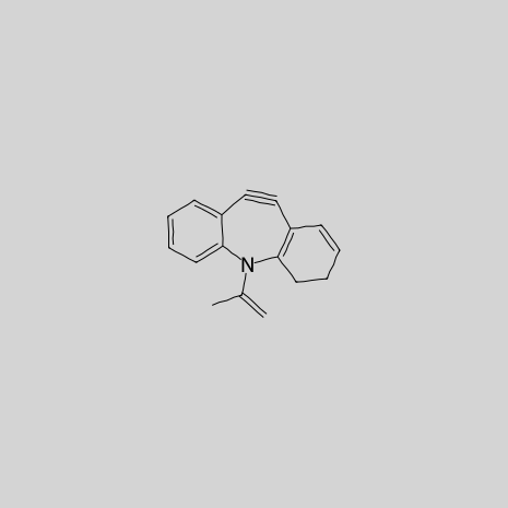 C=C(C)N1C2=C(C#Cc3ccccc31)C=CCC2